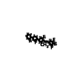 Cc1cc(-c2ccc(-c3ccccc3F)cc2F)cc(F)c1C#Cc1cc(F)c(F)c(F)c1